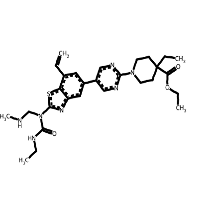 C=Cc1cc(-c2cnc(N3CCC(CC)(C(=O)OCC)CC3)nc2)cc2nc(N(CNC)C(=O)NCC)sc12